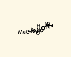 COCCn1cc(C(=O)NC2CCc3cc(-c4noc(C5CC5)n4)ccc32)cn1